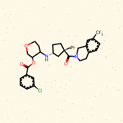 CC(C)[C@]1(C(=O)N2CCc3ccc(C(F)(F)F)cc3C2)CC[C@@H](NC2CCOCC2OC(=O)c2cccc(Cl)c2)C1